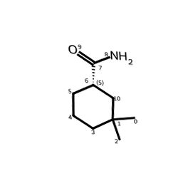 CC1(C)CCC[C@H](C(N)=O)C1